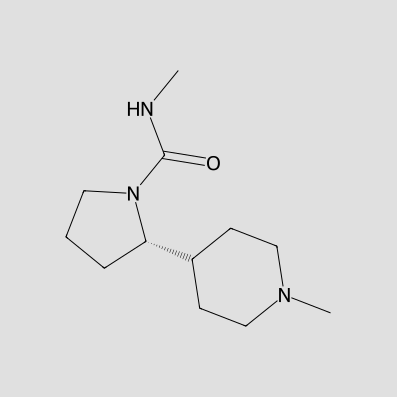 CNC(=O)N1CCC[C@H]1C1CCN(C)CC1